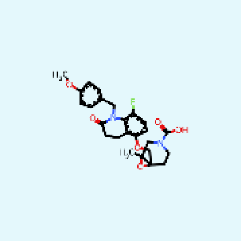 COc1ccc(CN2C(=O)CCc3c(OCC45CCN(C(=O)O)CC4(C)O5)ccc(F)c32)cc1